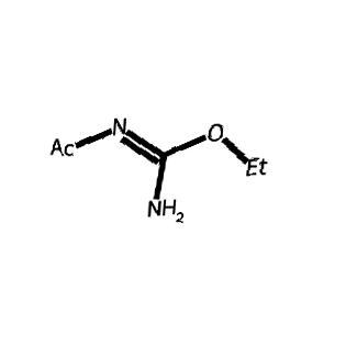 CCO/C(N)=N/C(C)=O